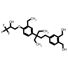 CCc1cc(C(CC)(CC)CCc2ccc(CO)c(CO)c2)ccc1OCC(O)C(F)(F)F